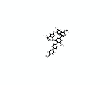 CCc1nc2c(N)ncc(C3=CC(OC)=C(N4CCC(N5CCN(C)CC5)CC4)C(C)C3)c2nc1NC1CCC(C(N)=O)C1